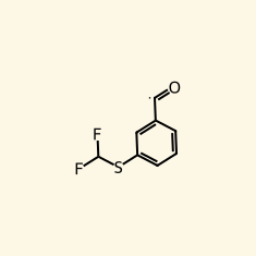 O=[C]c1cccc(SC(F)F)c1